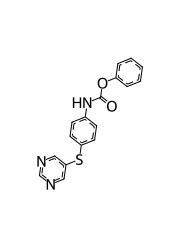 O=C(Nc1ccc(Sc2cncnc2)cc1)Oc1ccccc1